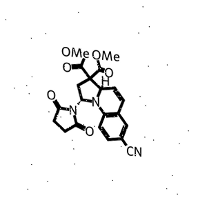 COC(=O)C1(C(=O)OC)C[C@@H](N2C(=O)CCC2=O)N2c3ccc(C#N)cc3C=C[C@@H]21